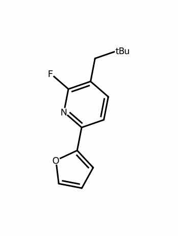 CC(C)(C)Cc1ccc(-c2ccco2)nc1F